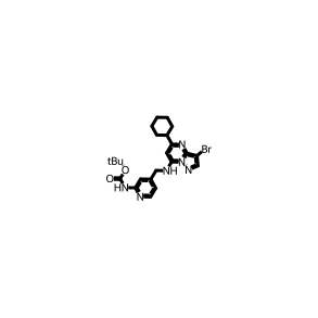 CC(C)(C)OC(=O)Nc1cc(CNc2cc(C3CCCCC3)nc3c(Br)cnn23)ccn1